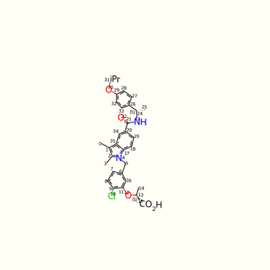 Cc1c(C)n(Cc2ccc(Cl)c(O[C@@H](C)C(=O)O)c2)c2ccc(C(=O)N[C@@H](C)c3ccc(OC(C)C)cc3)cc12